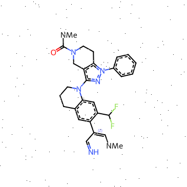 CN/C=C(\C=N)c1cc2c(cc1C(F)F)N(c1nn(-c3ccccc3)c3c1CN(C(=O)NC)CC3)CCC2